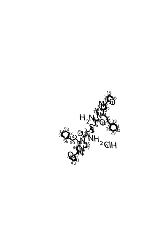 Cl.N[C@@H](CSSC[C@H](N)C(=O)N1CCn2nc(-c3ccco3)cc2C1CCc1ccccc1)C(=O)N1CCn2nc(-c3ccco3)cc2C1CCc1ccccc1